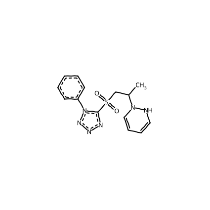 CC(CS(=O)(=O)c1nnnn1-c1ccccc1)N1C=CC=CN1